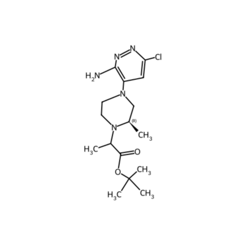 CC(C(=O)OC(C)(C)C)N1CCN(c2cc(Cl)nnc2N)C[C@H]1C